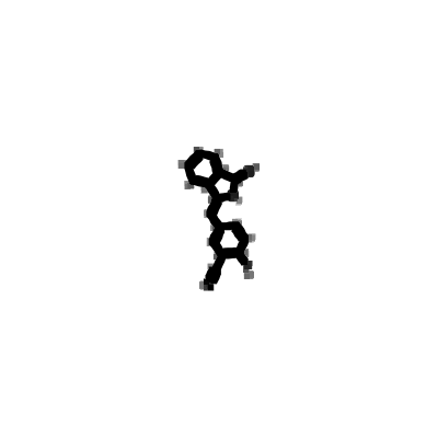 N#Cc1cc(C=C2OC(=O)c3ccccc32)ccc1F